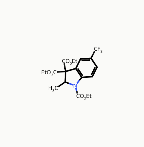 CCOC(=O)N1c2ccc(C(F)(F)F)cc2C(C(=O)OCC)(C(=O)OCC)C1C